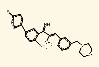 N=C(/C(N)=C/c1cccc(CN2CCOCC2)c1)c1cc(-c2ccc(F)nc2)ccc1N